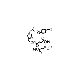 CC(CCOc1ccc(C#N)cc1)CN1CCN2CCCCC2C1.O=C(O)/C=C/C(=O)O.O=C(O)/C=C/C(=O)O